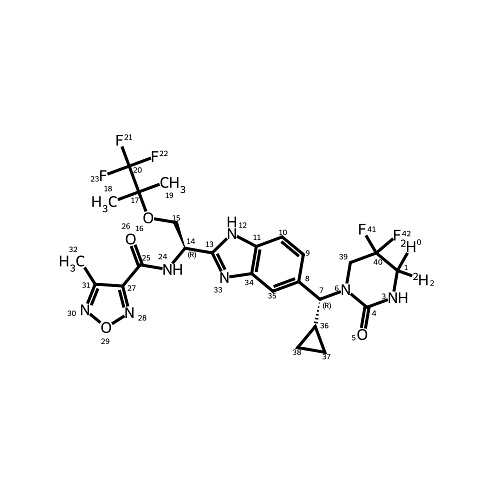 [2H]C1([2H])NC(=O)N([C@@H](c2ccc3[nH]c([C@H](COC(C)(C)C(F)(F)F)NC(=O)c4nonc4C)nc3c2)C2CC2)CC1(F)F